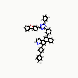 N#Cc1ccc(-c2ccc(-c3cc4c5ccccc5c(-c5cccc(-c6nc(-c7ccccc7)nc(-c7ccc8c(c7)oc7ccccc78)n6)c5)cc4c4cccnc34)cc2)cc1